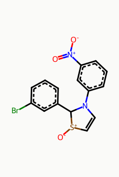 O=[N+]([O-])c1cccc(N2C=C[S+]([O-])C2c2cccc(Br)c2)c1